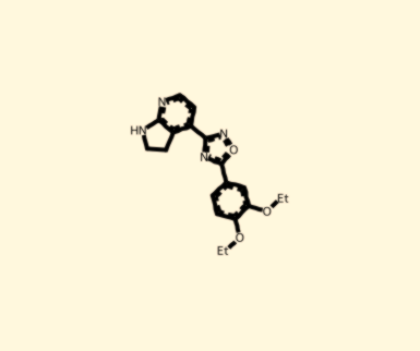 CCOc1ccc(-c2nc(-c3ccnc4c3CCN4)no2)cc1OCC